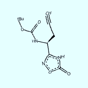 C#CC[C@H](NC(=O)OC(C)(C)C)c1noc(=O)[nH]1